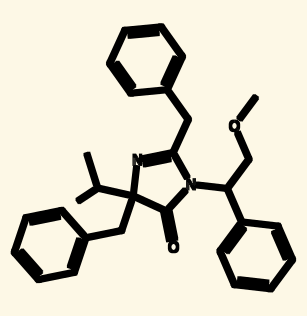 COCC(c1ccccc1)N1C(=O)C(Cc2ccccc2)(C(C)C)N=C1Cc1ccccc1